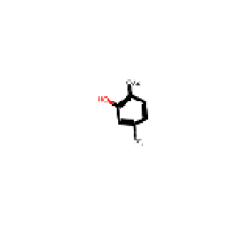 CC(=O)Oc1ccc(C(F)(F)F)cc1O